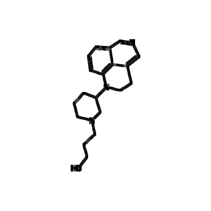 OCCCN1CCCC(N2CCc3cncc4cccc2c34)C1